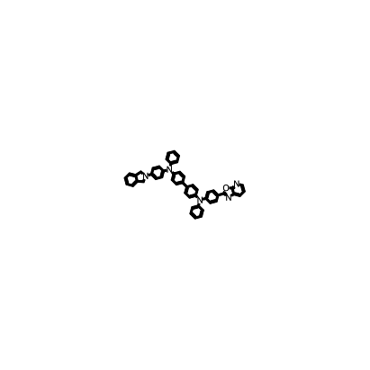 c1ccc(N(c2ccc(-c3ccc(N(c4ccccc4)c4ccc(N5Cc6ccccc6C5)cc4)cc3)cc2)c2ccc(-c3nc4cccnc4o3)cc2)cc1